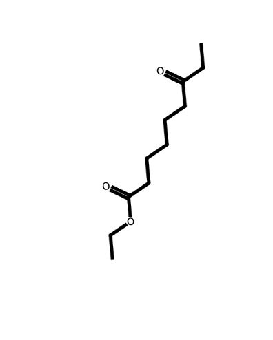 CCOC(=O)CCCCCC(=O)CC